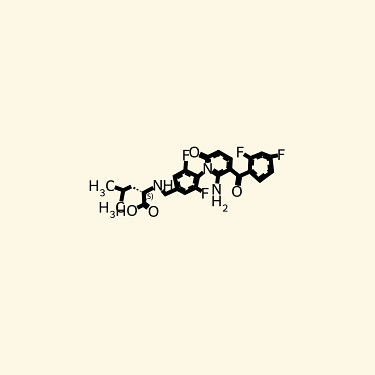 CC(C)C[C@H](NCc1cc(F)c(-n2c(N)c(C(=O)c3ccc(F)cc3F)ccc2=O)c(F)c1)C(=O)O